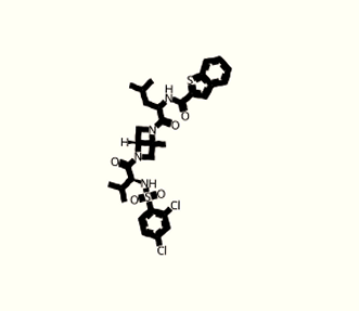 CC(C)CC(NC(=O)c1cc2ccccc2s1)C(=O)N1C[C@H]2N(C(=O)[C@@H](NS(=O)(=O)c3ccc(Cl)cc3Cl)C(C)C)CC21C